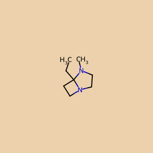 CCC12CCN1CCN2C